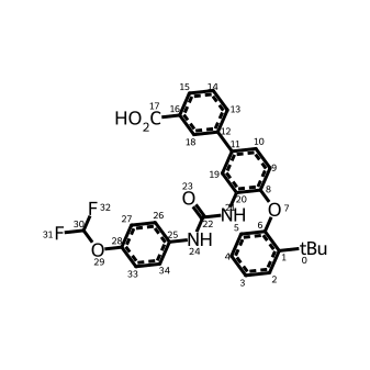 CC(C)(C)c1ccccc1Oc1ccc(-c2cccc(C(=O)O)c2)cc1NC(=O)Nc1ccc(OC(F)F)cc1